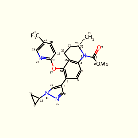 COC(=O)N1c2ccc(-c3cnn(C4CC4)c3)c(Oc3ccc(C(F)(F)F)cn3)c2CC[C@@H]1C